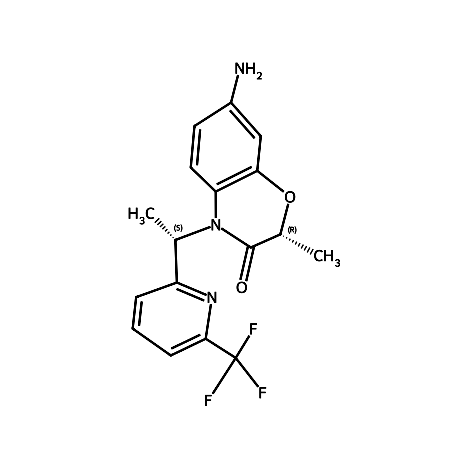 C[C@H]1Oc2cc(N)ccc2N([C@@H](C)c2cccc(C(F)(F)F)n2)C1=O